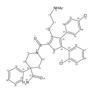 CC(=O)NCCOc1c(C(=O)N2CCC(C(N)=O)(c3ccccc3)CC2)sc(-c2ccccc2Cl)c1-c1ccc(Cl)cc1